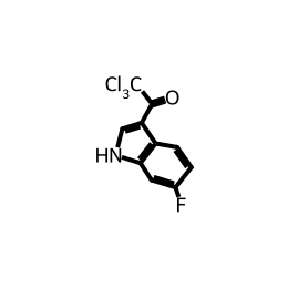 O=C(c1c[nH]c2cc(F)ccc12)C(Cl)(Cl)Cl